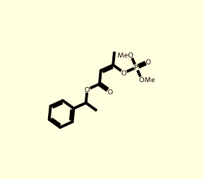 COP(=O)(OC)O/C(C)=C\C(=O)OC(C)c1ccccc1